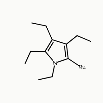 CCc1c(CC)c(CC)n(CC)[c]1[Ru]